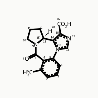 Cc1cccc2c1C(=O)N1CCC[C@H]1c1c(C(=O)O)ncn1-2